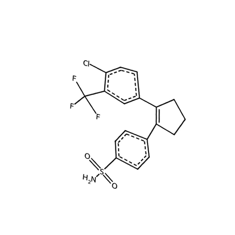 NS(=O)(=O)c1ccc(C2=C(c3ccc(Cl)c(C(F)(F)F)c3)CCC2)cc1